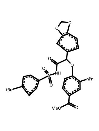 CCCc1cc(C(=O)OC)ccc1OC(C(=O)NS(=O)(=O)c1ccc(C(C)(C)C)cc1)c1ccc2c(c1)OCO2